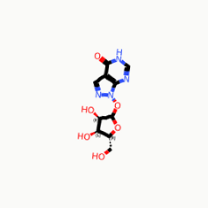 O=c1[nH]cnc2c1cnn2OC1O[C@H](CO)[C@@H](O)[C@H]1O